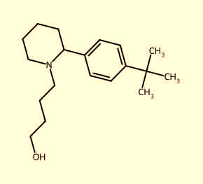 CC(C)(C)c1ccc(C2CCCCN2CCCCO)cc1